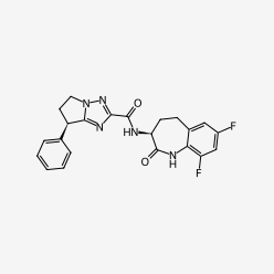 O=C(N[C@H]1CCc2cc(F)cc(F)c2NC1=O)c1nc2n(n1)CC[C@@H]2c1ccccc1